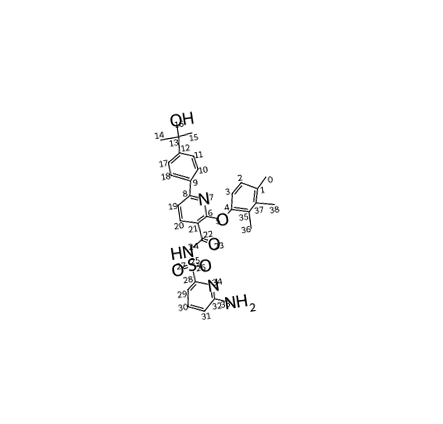 Cc1ccc(Oc2nc(-c3ccc(C(C)(C)O)cc3)ccc2C(=O)NS(=O)(=O)c2cccc(N)n2)c(C)c1C